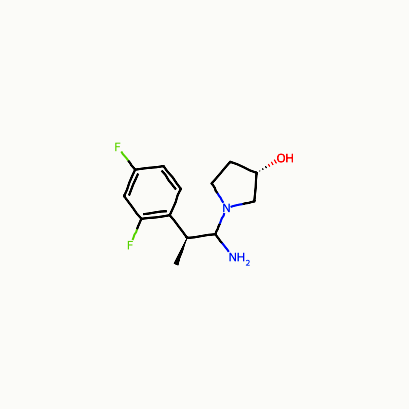 C[C@@H](c1ccc(F)cc1F)C(N)N1CC[C@H](O)C1